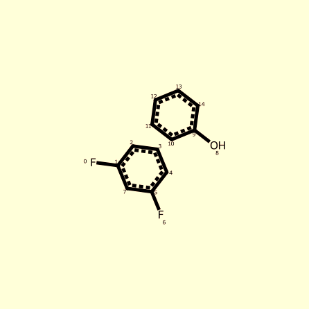 Fc1cccc(F)c1.Oc1ccccc1